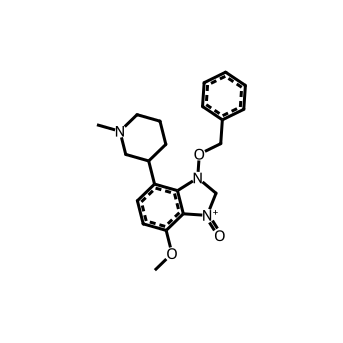 COc1ccc(C2CCCN(C)C2)c2c1[N+](=O)CN2OCc1ccccc1